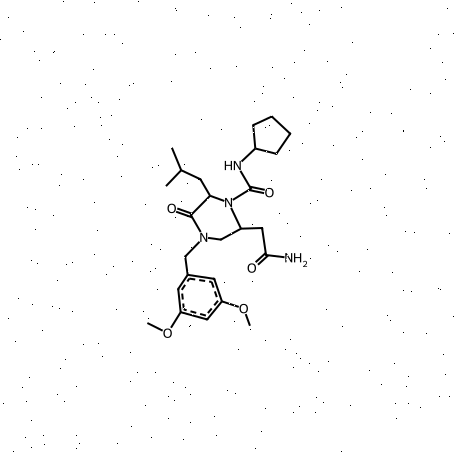 COc1cc(CN2CC(CC(N)=O)N(C(=O)NC3CCCC3)C(CC(C)C)C2=O)cc(OC)c1